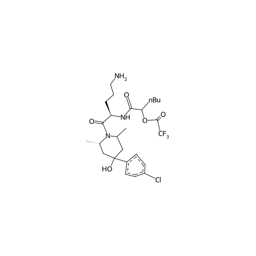 CCCCC(OC(=O)C(F)(F)F)C(=O)N[C@H](CCCN)C(=O)N1C(C)CC(O)(c2ccc(Cl)cc2)C[C@@H]1C